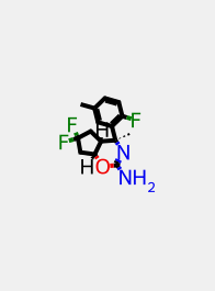 Cc1ccc(F)c([C@@]2(C)N=C(N)O[C@@H]3CC(F)(F)C[C@@H]32)c1